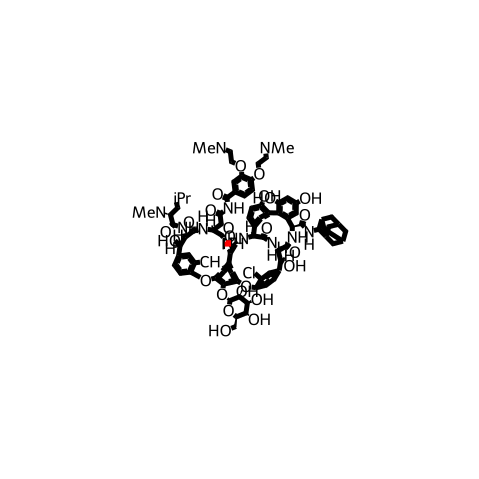 CNCCOc1ccc(C(=O)NC(=O)C[C@@H]2NC(=O)[C@H](NC(=O)[C@@H](CC(C)C)NC)[C@H](O)c3ccc(c(C)c3)Oc3cc4cc(c3O[C@@H]3O[C@H](CO)[C@@H](O)[C@H](O)[C@H]3O)Oc3ccc(cc3Cl)[C@@H](O)[C@@H]3NC(=O)[C@H](NC(=O)[C@@H]4NC2=O)c2ccc(O)c(c2)-c2c(O)cc(O)cc2[C@@H](C(=O)NC2C4CC5CC(C4)CC2C5)NC3=O)cc1OCCNC